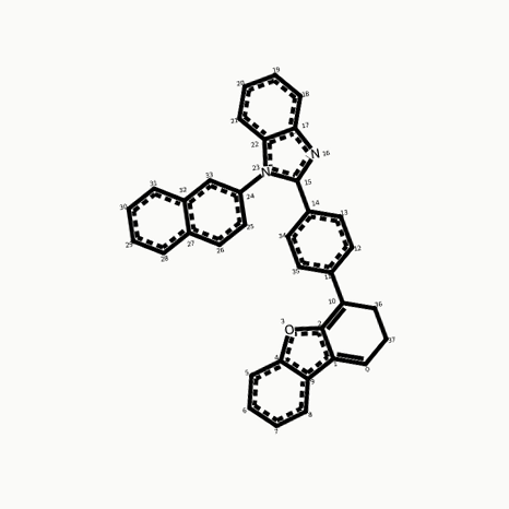 C1=c2c(oc3ccccc23)=C(c2ccc(-c3nc4ccccc4n3-c3ccc4ccccc4c3)cc2)CC1